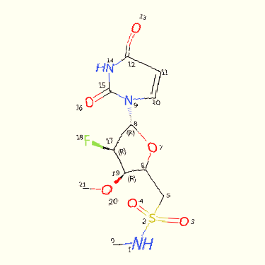 CNS(=O)(=O)CC1O[C@@H](n2ccc(=O)[nH]c2=O)[C@H](F)[C@@H]1OC